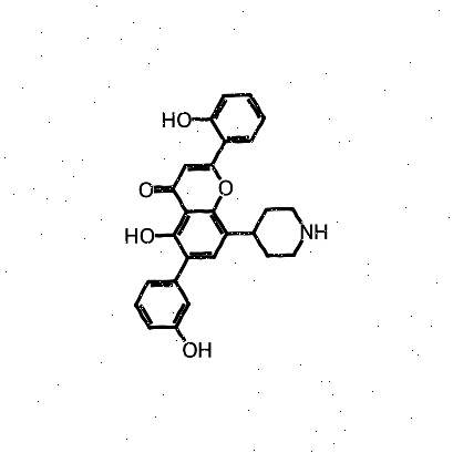 O=c1cc(-c2ccccc2O)oc2c(C3CCNCC3)cc(-c3cccc(O)c3)c(O)c12